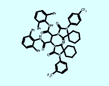 CC(C)c1cccc(C(C)C)c1NC(=O)C(C(C(=O)Nc1c(C(C)C)cccc1C(C)C)N1C(=O)N(c2cccc(C(F)(F)F)c2)C2(CCCCC2)C1=O)N1C(=O)N(c2ccc(C(F)(F)F)cc2)C2(CCCCC2)C1=O